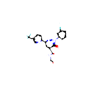 C[C@@H](CO)NC(=O)c1cc(-c2ccc(C(F)(F)F)cn2)nn(-c2cccc(F)c2)c1=O